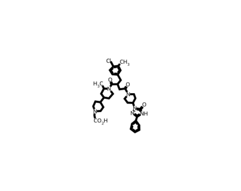 Cc1cc(CC(CC(=O)N2CCC(n3nc(-c4ccccc4)[nH]c3=O)CC2)C(=O)N2CCC(C3CCN(CC(=O)O)CC3)CC2C)ccc1Cl